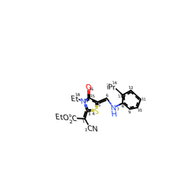 CCOC(=O)C(C#N)=c1sc(=CNc2ccccc2C(C)C)c(=O)n1CC